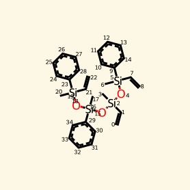 C=C[Si](C)(O[Si](C)(C=C)c1ccccc1)O[Si](C)(O[Si](C)(C=C)c1ccccc1)c1ccccc1